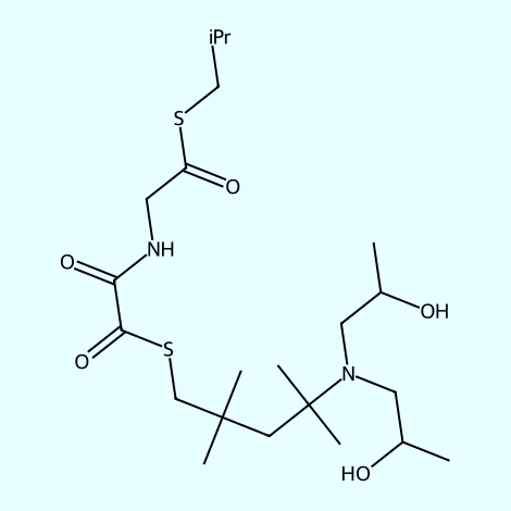 CC(C)CSC(=O)CNC(=O)C(=O)SCC(C)(C)CC(C)(C)N(CC(C)O)CC(C)O